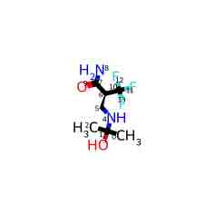 CC(C)(O)NC[C@@H](C(N)=O)C(F)(F)F